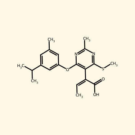 CC=C(C(=O)O)c1c(Oc2cc(C)cc(C(C)C)c2)nc(C)nc1SC